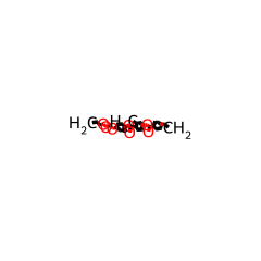 C=CCOOCOc1ccc(OC(=O)c2ccc(OC(=O)c3ccc(C=C)cc3)cc2C)cc1